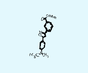 COC(=O)c1cccc(-c2cc(-c3ccc(N(C)C)cc3)on2)c1